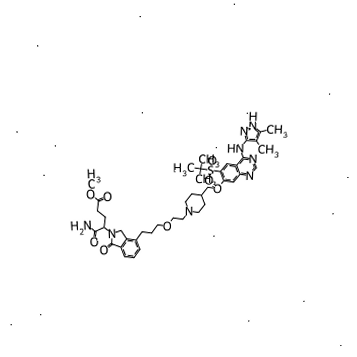 COC(=O)CCC(C(N)=O)N1Cc2c(CCCOCCN3CCC(COc4cc5ncnc(Nc6n[nH]c(C)c6C)c5cc4S(=O)(=O)C(C)(C)C)CC3)cccc2C1=O